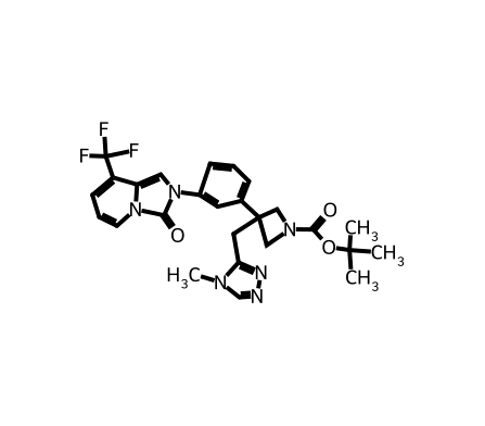 Cn1cnnc1CC1(c2cccc(-n3cc4c(C(F)(F)F)cccn4c3=O)c2)CN(C(=O)OC(C)(C)C)C1